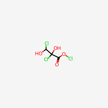 O=C(OCl)C(O)(Cl)C(O)Cl